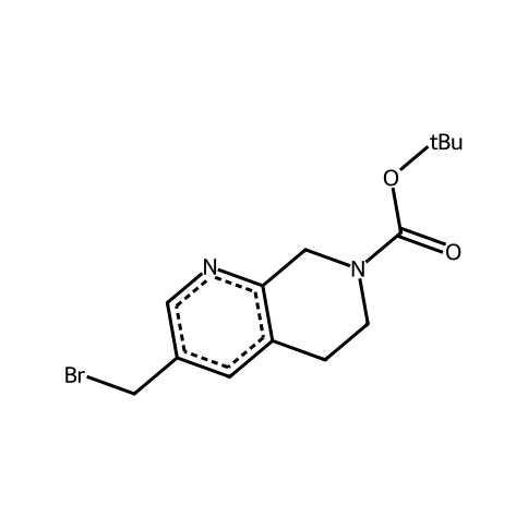 CC(C)(C)OC(=O)N1CCc2cc(CBr)cnc2C1